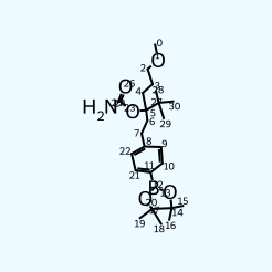 COCCCC(CCc1ccc(B2OC(C)(C)C(C)(C)O2)cc1)(OC(N)=O)C(C)(C)C